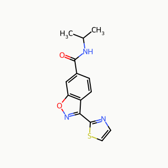 CC(C)NC(=O)c1ccc2c(-c3nccs3)noc2c1